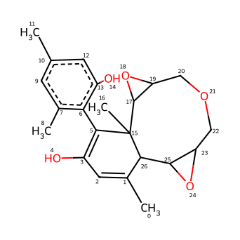 CC1=CC(O)=C(c2c(C)cc(C)cc2O)C2(C)C3OC3COCC3OC3C12